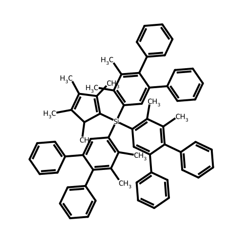 CC1=C(C)C(C)C([Si](c2cc(-c3ccccc3)c(-c3ccccc3)c(C)c2C)(c2cc(-c3ccccc3)c(-c3ccccc3)c(C)c2C)c2cc(-c3ccccc3)c(-c3ccccc3)c(C)c2C)=C1C